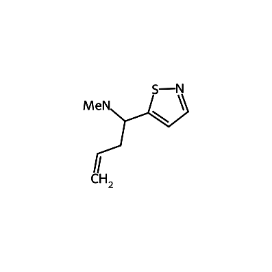 C=CCC(NC)c1ccns1